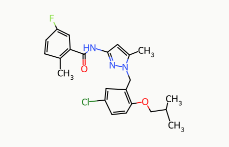 Cc1ccc(F)cc1C(=O)Nc1cc(C)n(Cc2cc(Cl)ccc2OCC(C)C)n1